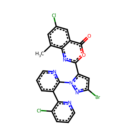 Cc1cc(Cl)cc2c(=O)oc(-c3cc(Br)nn3-c3ncccc3-c3ncccc3Cl)nc12